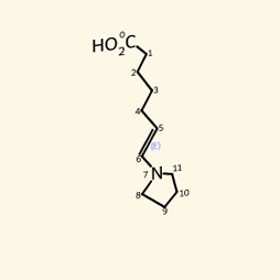 O=C(O)CCCC/C=C/N1CCCC1